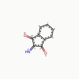 N=c1c(=O)c2ccccc2c1=O